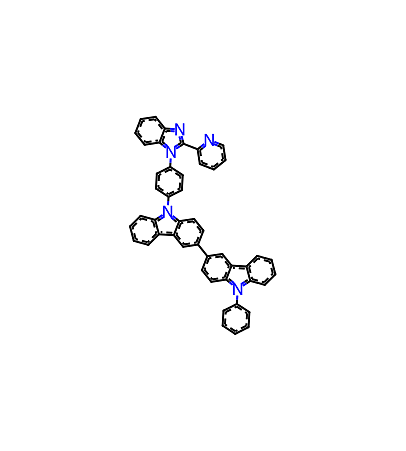 c1ccc(-n2c3ccccc3c3cc(-c4ccc5c(c4)c4ccccc4n5-c4ccc(-n5c(-c6ccccn6)nc6ccccc65)cc4)ccc32)cc1